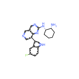 N[C@@H]1CCCC[C@@H]1Nc1ncc2cncc(-c3c[nH]c4ccc(F)cc34)c2n1